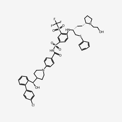 O=C(NS(=O)(=O)c1ccc(N[C@H](CC[C@@H]2CCCN2CCO)CSc2ccccc2)c(S(=O)(=O)C(F)(F)F)c1)c1ccc(N2CCC([C@@H](O)c3ccccc3-c3ccc(Cl)cc3)CC2)cc1